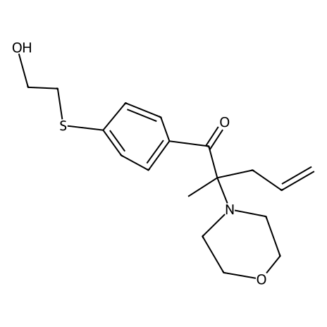 C=CCC(C)(C(=O)c1ccc(SCCO)cc1)N1CCOCC1